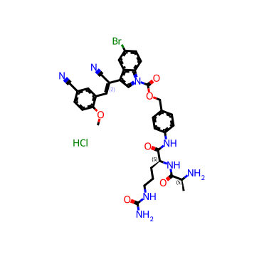 COc1ccc(C#N)cc1/C=C(\C#N)c1cn(C(=O)OCc2ccc(NC(=O)[C@H](CCCNC(N)=O)NC(=O)[C@H](C)N)cc2)c2ccc(Br)cc12.Cl